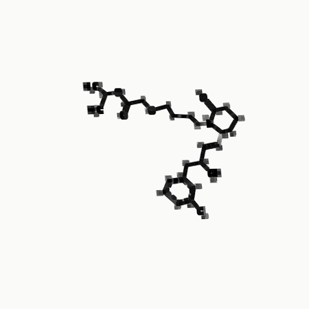 CC(C)OC(=O)COCCCCN1C(=O)CCC[C@@H]1C=CC(O)Cc1cccc(Cl)c1